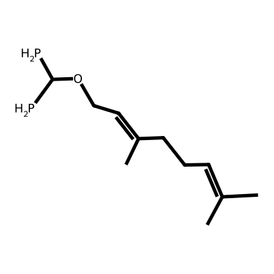 CC(C)=CCC/C(C)=C/COC(P)P